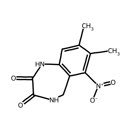 Cc1cc2c(c([N+](=O)[O-])c1C)CNC(=O)C(=O)N2